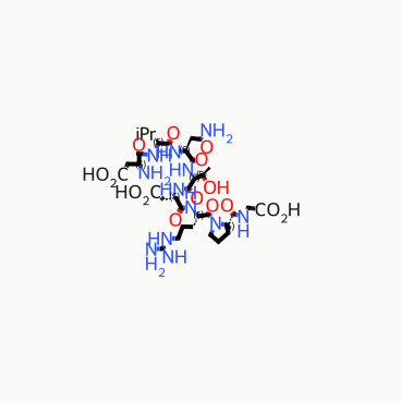 CC(C)[C@H](NC(=O)[C@@H](N)CC(=O)O)C(=O)N[C@@H](CC(N)=O)C(=O)N[C@H](C(=O)N[C@@H](CC(=O)O)C(=O)N[C@@H](CCCNC(=N)N)C(=O)N1CCC[C@H]1C(=O)NCC(=O)O)[C@@H](C)O